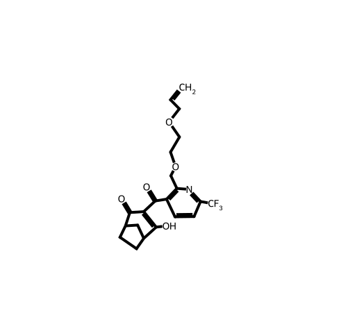 C=CCOCCOCc1nc(C(F)(F)F)ccc1C(=O)C1=C(O)C2CCC(C2)C1=O